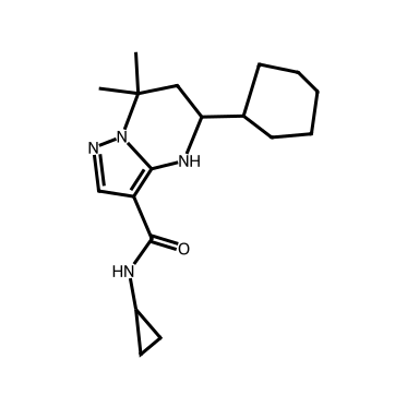 CC1(C)CC(C2CCCCC2)Nc2c(C(=O)NC3CC3)cnn21